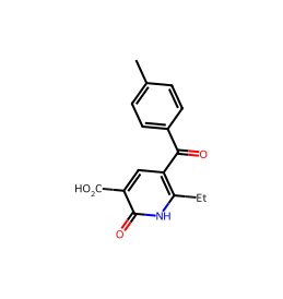 CCc1[nH]c(=O)c(C(=O)O)cc1C(=O)c1ccc(C)cc1